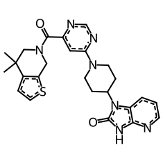 CC1(C)CN(C(=O)c2cc(N3CCC(n4c(=O)[nH]c5ncccc54)CC3)ncn2)Cc2sccc21